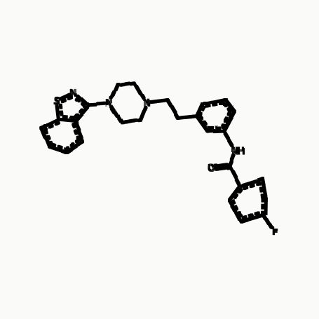 O=C(Nc1cccc(CCN2CCN(c3nsc4ccccc34)CC2)c1)c1ccc(F)cc1